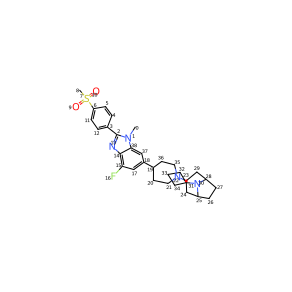 Cn1c(-c2ccc(S(C)(=O)=O)cc2)nc2c(F)cc(C3CCN(C4CC5CCC(C4)N5C4CCC4)CC3)cc21